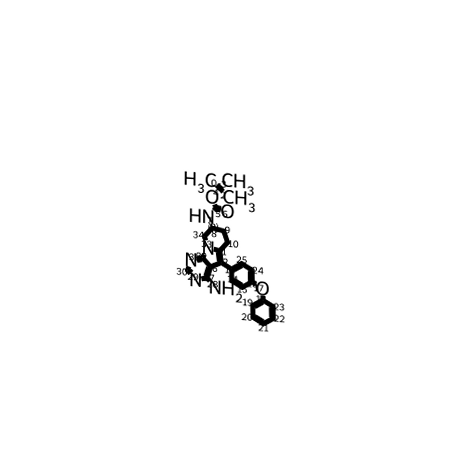 CC(C)(C)OC(=O)N[C@@H]1CCc2c(-c3ccc(Oc4ccccc4)cc3)c3c(N)ncnc3n2C1